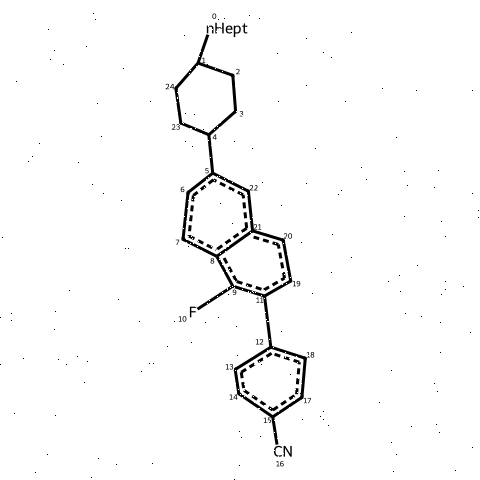 CCCCCCCC1CCC(c2ccc3c(F)c(-c4ccc(C#N)cc4)ccc3c2)CC1